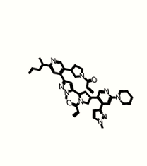 C=CC(=O)N1CCC(c2cnc(C(C)CCC)cc2-c2cc(C3CC(c4cnc(N5CCCCC5)cc4-c4ccn(C)n4)CN3C(=O)C=C)n(C)n2)C1